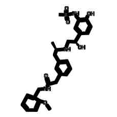 COc1ccccc1CNC(=O)Cc1cccc(C[C@@H](C)NC[C@@H](O)c2ccc(O)c(NS(C)(=O)=O)c2)c1